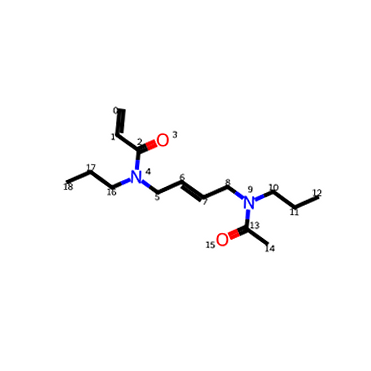 C=CC(=O)N(C/C=C/CN(CCC)C(C)=O)CCC